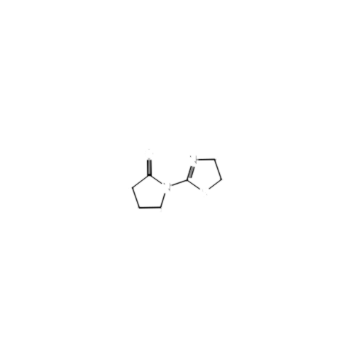 O=C1CCCN1C1=NCCS1